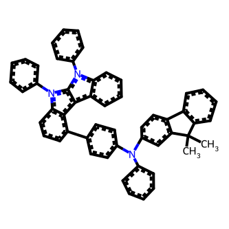 CC1(C)c2ccccc2-c2ccc(N(c3ccccc3)c3ccc(-c4cccc5c4c4c6ccccc6n(-c6ccccc6)c4n5-c4ccccc4)cc3)cc21